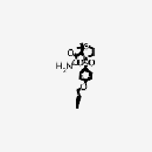 CC#CCOc1ccc(S(=O)(=O)N2CCSC(C)(C)C2C(=O)ON)cc1